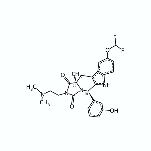 CN(C)CCN1C(=O)N2[C@H](c3cccc(O)c3)c3[nH]c4ccc(OC(F)F)cc4c3C[C@@]2(C)C1=O